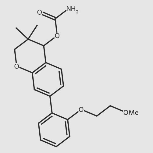 COCCOc1ccccc1-c1ccc2c(c1)OCC(C)(C)C2OC(N)=O